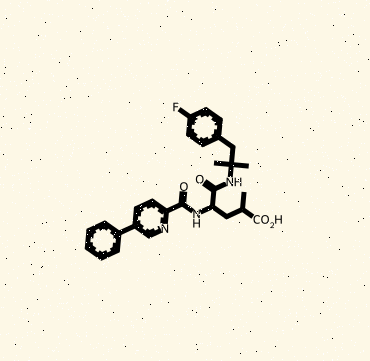 CC(CC(NC(=O)c1ccc(-c2ccccc2)cn1)C(=O)NC(C)(C)Cc1ccc(F)cc1)C(=O)O